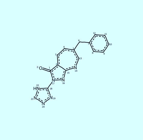 O=c1c2ccc(Cc3ccccc3)cnc-2nn1-c1nnn[nH]1